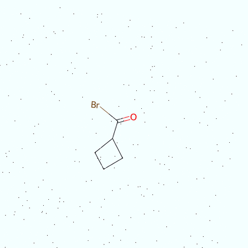 O=C(Br)C1CCC1